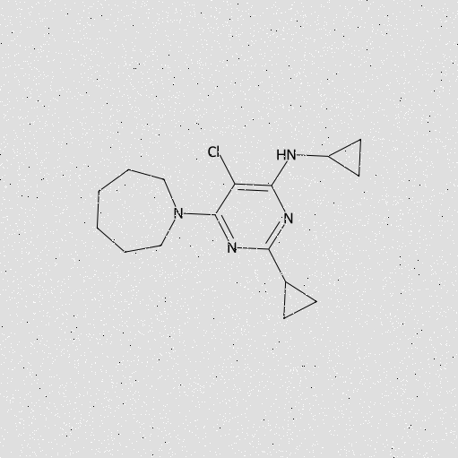 Clc1c(NC2CC2)nc(C2CC2)nc1N1CCCCCC1